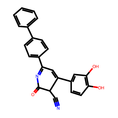 N#CC1C(=O)N=C(c2ccc(-c3ccccc3)cc2)C=C1c1ccc(O)c(O)c1